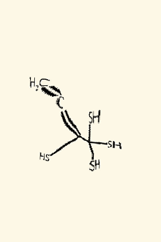 C=C=C(S)C(S)(S)S